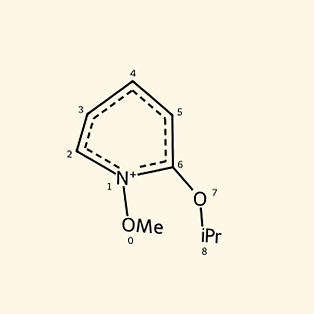 CO[n+]1ccccc1OC(C)C